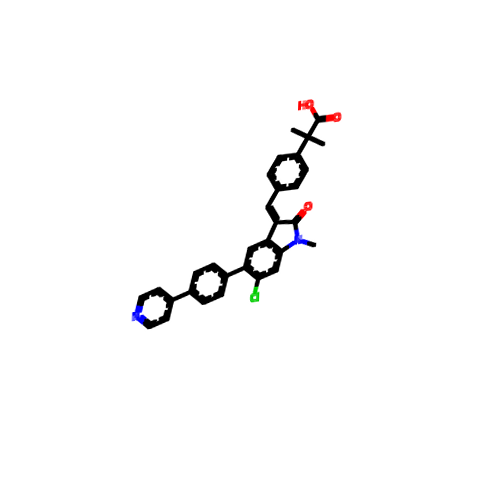 CN1C(=O)C(=Cc2ccc(C(C)(C)C(=O)O)cc2)c2cc(-c3ccc(-c4ccncc4)cc3)c(Cl)cc21